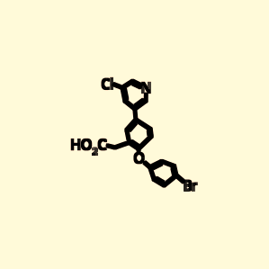 O=C(O)Cc1cc(-c2cncc(Cl)c2)ccc1Oc1ccc(Br)cc1